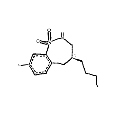 CCCC[C@@H]1CNS(=O)(=O)c2cc(C)ccc2C1